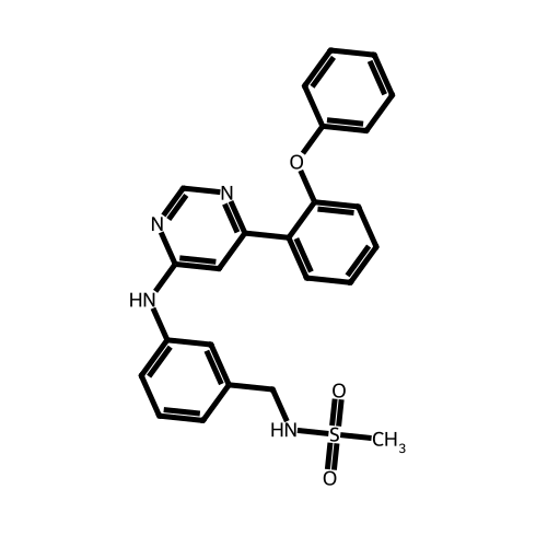 CS(=O)(=O)NCc1cccc(Nc2cc(-c3ccccc3Oc3ccccc3)ncn2)c1